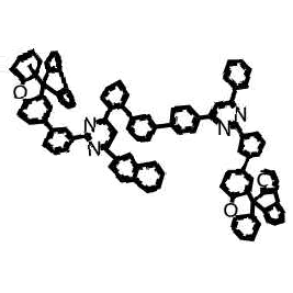 CC12CC=CC=C1Oc1ccc(-c3cccc(-c4nc(-c5ccc6ccccc6c5)cc(-c5ccccc5-c5cccc(-c6ccc(-c7cc(-c8ccccc8)nc(-c8cccc(-c9ccc%10c(c9)C9(c%11ccccc%11O%10)c%10ccccc%10-c%10ccccc%109)c8)n7)cc6)c5)n4)c3)cc1C21c2ccccc2-c2ccccc21